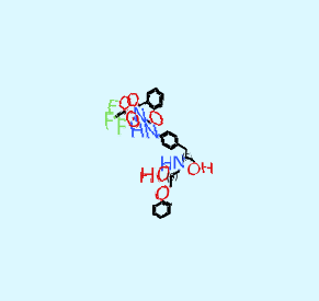 O=C(Nc1ccc(C[C@@H](CO)NC[C@H](O)COc2ccccc2)cc1)N(OC(=O)C(F)(F)F)C(=O)c1ccccc1